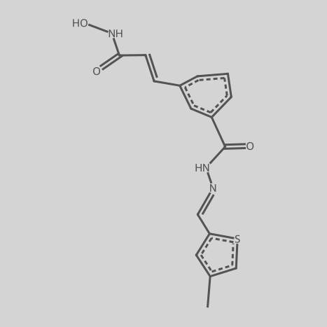 Cc1csc(/C=N/NC(=O)c2cccc(/C=C/C(=O)NO)c2)c1